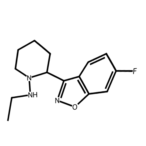 CCNN1CCCCC1c1noc2cc(F)ccc12